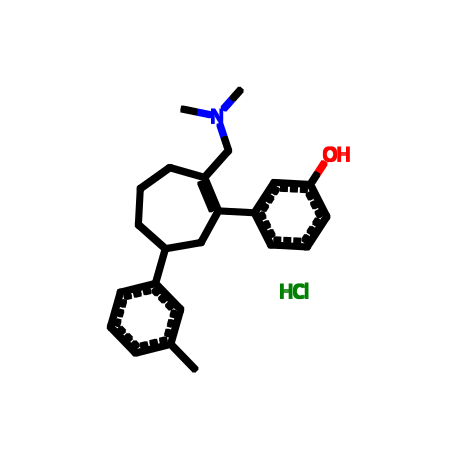 Cc1cccc(C2CCCC(CN(C)C)=C(c3cccc(O)c3)C2)c1.Cl